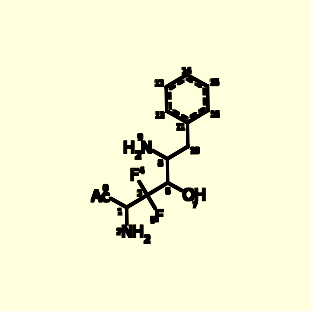 CC(=O)C(N)C(F)(F)C(O)C(N)Cc1ccccc1